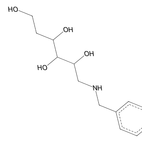 OCCC(O)C(O)C(O)CNCc1ccccc1